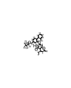 C=C1C=C(CC)c2c(nc(OCc3ccccc3-c3ccc(CO[Si](C)(C)C(C)(C)C)cc3)[nH]c2=O)O1